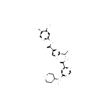 CC(NC(=O)c1cc(NC2CCNCC2)ncn1)c1ncc(C(=O)Nc2cc(C(F)(F)F)c(Cl)cn2)s1